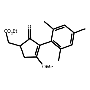 CCOC(=O)CC1CC(OC)=C(c2c(C)cc(C)cc2C)C1=O